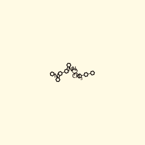 CC1=C(c2cccc(-c3ccc(-c4ccccc4)cc3)c2)C=CN=C(n2c3ccccc3c3cc(-c4ccc5c(c4)c4ccccc4n5-c4ccccc4)ccc32)C1